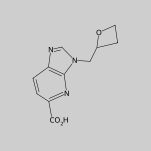 O=C(O)c1ccc2ncn(CC3CCO3)c2n1